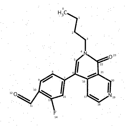 CCCCn1cc(-c2ccc(C=O)c(F)c2)c2ccncc2c1=O